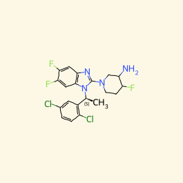 C[C@@H](c1cc(Cl)ccc1Cl)n1c(N2CCC(F)C(N)C2)nc2cc(F)c(F)cc21